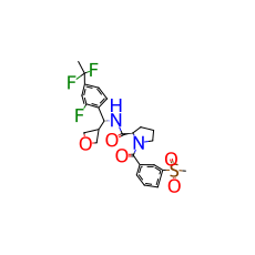 CC(F)(F)c1ccc([C@H](NC(=O)[C@H]2CCCN2C(=O)c2cccc(S(C)(=O)=O)c2)C2COC2)c(F)c1